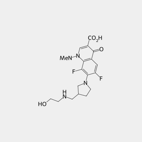 CNn1cc(C(=O)O)c(=O)c2cc(F)c(N3CCC(CNCCO)C3)c(F)c21